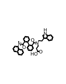 CN(C(=O)c1ccccc1-c1ccccc1C(=O)N(CCC(=O)O)CCc1c[nH]c2ccccc12)c1cccc2ccccc12